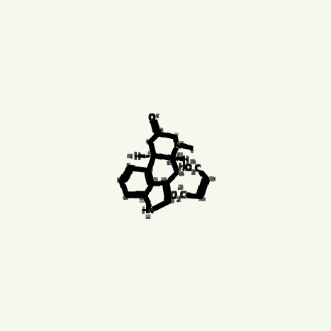 CN1CC(=O)C[C@@H]2c3cccc4[nH]cc(c34)C[C@H]21.O=C(O)/C=C\C(=O)O